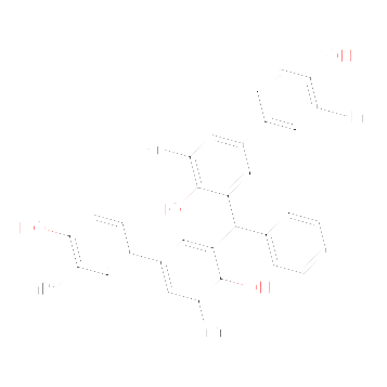 CC(C)c1cc(-c2cc(C(C)C)c(O)c(C(c3ccccc3)c3cc(-c4ccc(O)c(C(C)C)c4)cc(C(C)C)c3O)c2)ccc1O